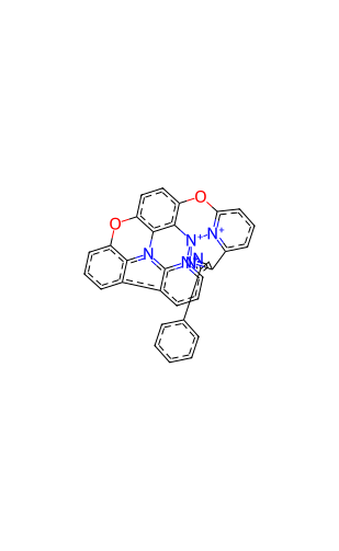 c1ccc(-c2cc3n(n2)[N+]24c5c(ccc6c5-n5c7c(cccc7c7ccc[n+]2c75)O6)Oc2cccc-3[n+]24)cc1